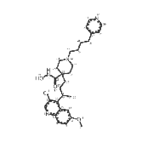 COc1ccc2ncc(Cl)c([C@H](F)CCC3(C(=O)NO)CCN(CCCCc4ccncc4)CC3)c2c1